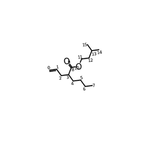 C=CCC(CCCC)C(=O)OCCC(C)C